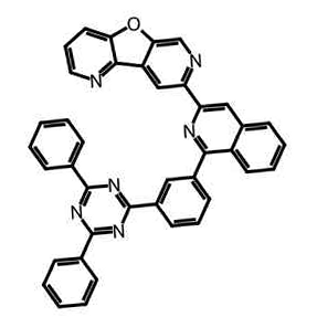 c1ccc(-c2nc(-c3ccccc3)nc(-c3cccc(-c4nc(-c5cc6c(cn5)oc5cccnc56)cc5ccccc45)c3)n2)cc1